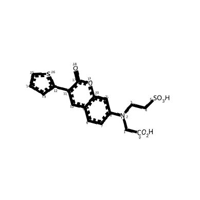 O=C(O)CN(CCS(=O)(=O)O)c1ccc2cc(-c3cccs3)c(=O)oc2c1